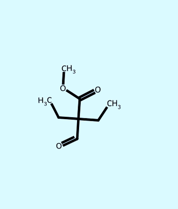 CCC(C=O)(CC)C(=O)OC